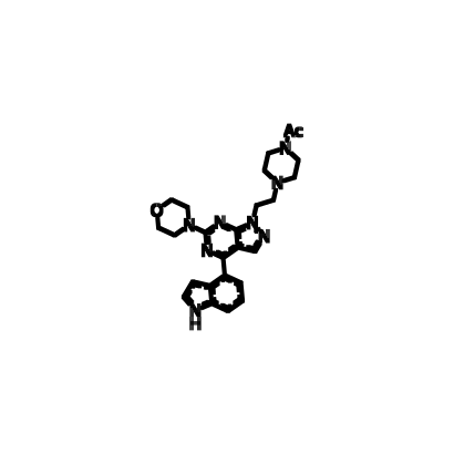 CC(=O)N1CCN(CCn2ncc3c(-c4cccc5[nH]ccc45)nc(N4CCOCC4)nc32)CC1